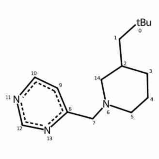 CC(C)(C)CC1CCCN(Cc2ccncn2)C1